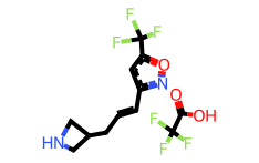 FC(F)(F)c1cc(C=CCC2CNC2)no1.O=C(O)C(F)(F)F